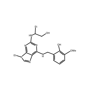 CCC(CO)Nc1nc(NCc2cccc(OC)c2O)c2ncn(CC)c2n1